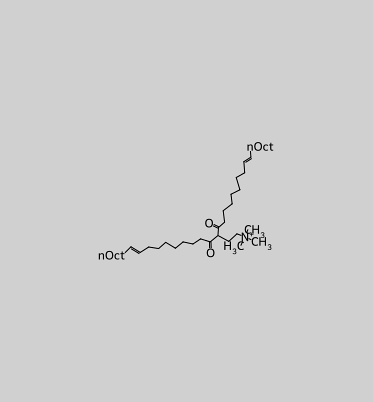 CCCCCCCCC=CCCCCCCCC(=O)C(CC[N+](C)(C)C)C(=O)CCCCCCCC=CCCCCCCCC